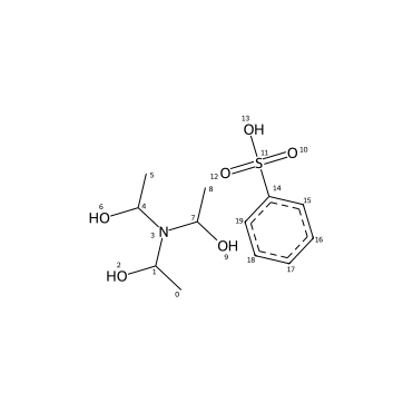 CC(O)N(C(C)O)C(C)O.O=S(=O)(O)c1ccccc1